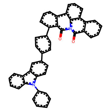 O=c1c2ccccc2c2cccc3c4cccc(-c5ccc(-c6ccc7c(c6)c6ccccc6n7-c6ccccc6)cc5)c4c(=O)n1c23